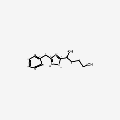 OCCCC(O)c1nc(Cc2ccccc2)no1